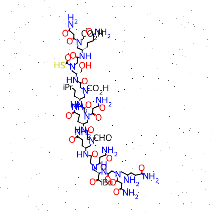 CCC(C)C(=O)[C@@H](CN(CC(=O)N[C@@H](CCC(N)=O)CN(C=O)CC(=O)N[C@@H](CCC(N)=O)CN(CC(=O)N[C@@H](CCC(C)C)CN(CC(=O)N[C@@H](CO)CN(CC(=O)N[C@@H](CCCC(N)=O)CN(CC(=O)O)C(=O)CC(N)=O)C(=O)S)C(=O)O)C(=O)CC(N)=O)C(=O)CC(N)=O)NC(=O)CN(C[C@@H](N)CCC(N)=O)C(=O)CC(N)=O